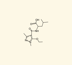 CCOc1c(C(=O)NC(CC(C)C)C(=O)O)c(C)nn1C